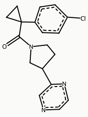 O=C(N1CCC(c2cnccn2)C1)C1(c2ccc(Cl)cc2)CC1